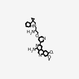 COc1cc2ncc3c(N)nc(-c4cncc(OC[C@@H](N)CNCC5(c6ccccc6)CC5)c4)cc3c2cc1OC